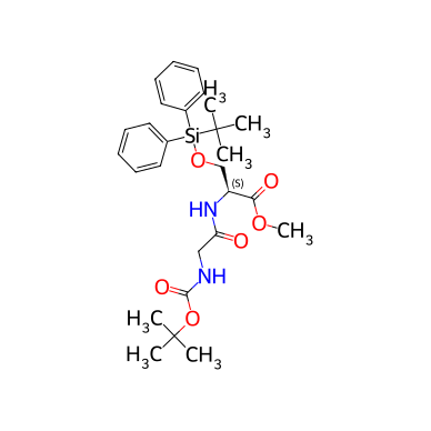 COC(=O)[C@H](CO[Si](c1ccccc1)(c1ccccc1)C(C)(C)C)NC(=O)CNC(=O)OC(C)(C)C